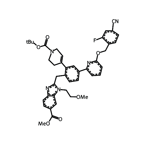 COCCn1c(Cc2ccc(-c3cccc(OCc4ccc(C#N)cc4F)n3)cc2C2=CCN(C(=O)OC(C)(C)C)CC2)nc2ccc(C(=O)OC)cc21